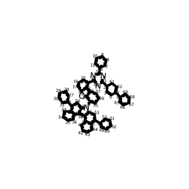 C1=CC(c2nc(-c3ccccc3)nc(-c3cccc4oc5c(-n6c7cc(-c8ccccc8)c8ccccc8c7c7c8ccccc8c(-c8ccccc8)cc76)cccc5c34)n2)CC=C1c1ccccc1